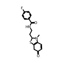 CN1C2=C(CC(=O)C=C2)SC1CCNC(=O)c1ccc(F)cc1